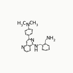 CN(C)c1ccc(-c2cc3ncccc3c(NCc3ccccc3CN)n2)cc1